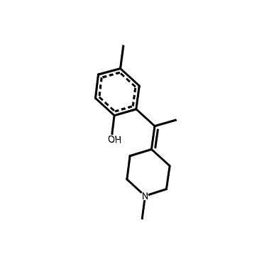 CC(=C1CCN(C)CC1)c1cc(C)ccc1O